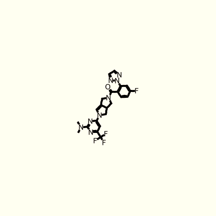 CN(C)c1nc(N2C=C3CN(C(=O)c4ccc(F)cc4-n4nccn4)CC3C2)cc(C(F)(F)F)n1